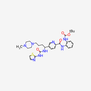 CN1CCN(CCCC(NC(=O)Nc2nccs2)c2ccc(C(=O)Nc3ccccc3NC(=O)OC(C)(C)C)nc2)CC1